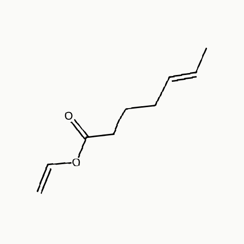 C=COC(=O)CCCC=CC